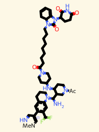 CN/C=C(\C=N)c1cc2c(cc1C(F)F)N(C(N)C1CN(C(C)=O)CCC1NC1CCN(C(=O)CCCCCCCCN3C(=O)N(C4CCC(=O)NC4=O)C4=CC=CCC43)CC1)CCC2